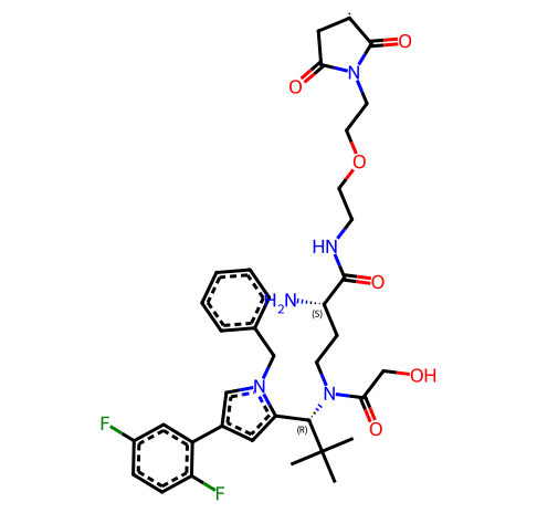 CC(C)(C)[C@H](c1cc(-c2cc(F)ccc2F)cn1Cc1ccccc1)N(CC[C@H](N)C(=O)NCCOCCN1C(=O)[CH]CC1=O)C(=O)CO